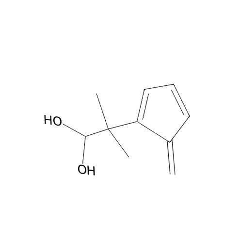 C=C1C=CC=C1C(C)(C)C(O)O